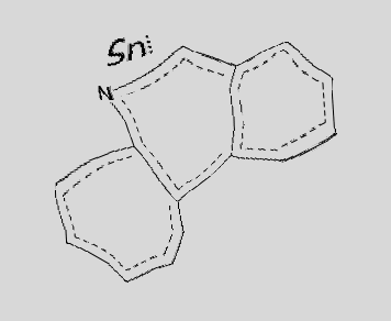 [Sn].c1ccc2c(c1)cnc1ccccc12